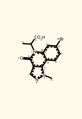 CC(C(=O)O)n1c(=O)c2cnn(C)c2c2ccc(Br)cc21